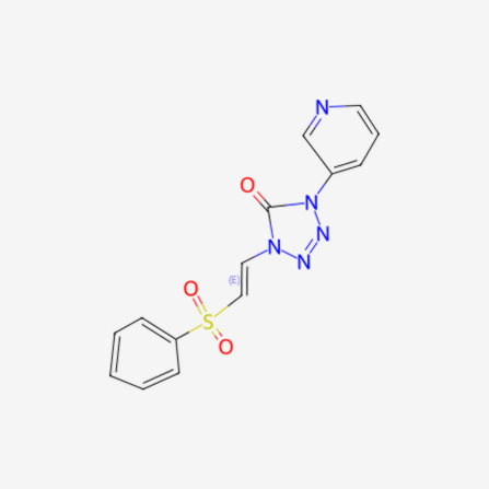 O=c1n(/C=C/S(=O)(=O)c2ccccc2)nnn1-c1cccnc1